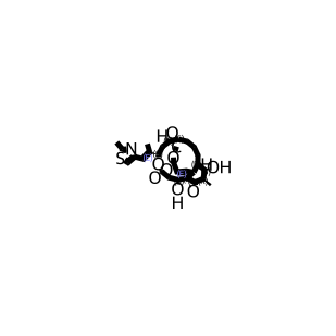 C/C(=C\c1csc(C)n1)[C@@H]1C[C@@H]2O[C@]23CCC[C@@H]2C(/C=C/C(=O)OC3)[C@@](C)(C(=O)[C@H](C)[C@H]2O)[C@@H](O)CC(=O)O1